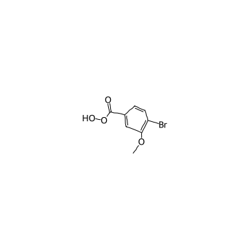 COc1cc(C(=O)OO)ccc1Br